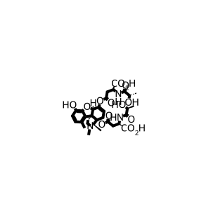 Cc1ccc(O)c2c1[C@]13CCN(C)[C@H](C)[C@]1(OC(=O)C[C@H](NC(=O)[C@H](C)O)C(=O)O)CC=C(OC(=O)C[C@H](NC(=O)[C@H](C)O)C(=O)O)[C@@H]3O2